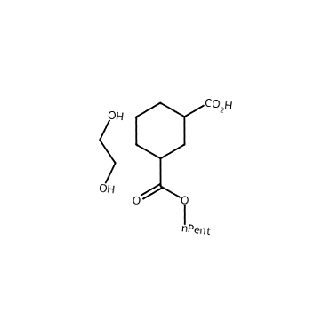 CCCCCOC(=O)C1CCCC(C(=O)O)C1.OCCO